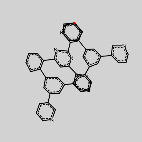 c1ccc(-c2nc(-c3ccccc3-c3cc(-c4cccnc4)cc(-c4cccnc4)c3)cc(-c3ccccc3-c3cc(-c4cccnc4)cc(-c4cccnc4)c3)n2)cc1